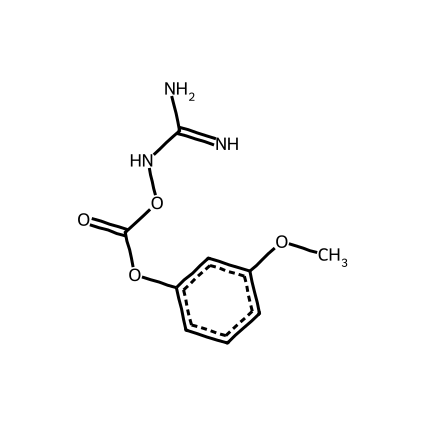 COc1cccc(OC(=O)ONC(=N)N)c1